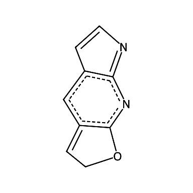 C1=Cc2cc3c(nc2=N1)OCC=3